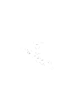 Cc1ccc([C@H](NC(=O)c2ccc3cnc(N[C@H]4CCOC[C@H]4F)cc3n2)c2cnn(C)c2)cc1F